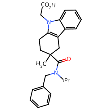 CC(C)N(Cc1ccccc1)C(=O)C1(C)CCc2c(c3ccccc3n2CC(=O)O)C1